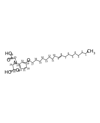 CCCCCCCCC=CCCCCCCCCOc1cccc(N(CC(=O)O)CC(=O)O)c1